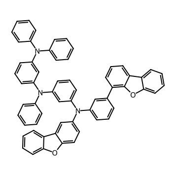 c1ccc(N(c2ccccc2)c2cccc(N(c3ccccc3)c3cccc(N(c4cccc(-c5cccc6c5oc5ccccc56)c4)c4ccc5oc6ccccc6c5c4)c3)c2)cc1